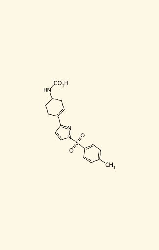 Cc1ccc(S(=O)(=O)n2ccc(C3=CCC(NC(=O)O)CC3)n2)cc1